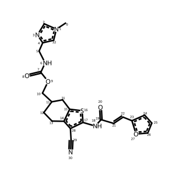 Cn1cnc(CNC(=O)OCC2CCc3c(sc(NC(=O)C=Cc4ccco4)c3C#N)C2)c1